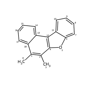 Cc1c(C)c2oc3ccccc3c2c2ccccc12